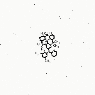 Cc1cc(C)cc(N(C2=CC3C(C)(C)c4cccc5c4N4c6c(cccc6C5(C)C)C(C)(C)C(=C2)C34C)c2ccccn2)c1